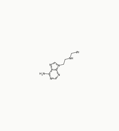 CC(C)CNCCn1cnc2c(N)ncnc21